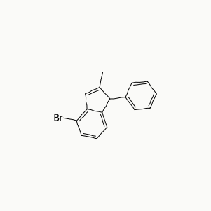 CC1=Cc2c(Br)cccc2C1c1ccccc1